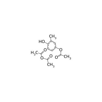 CC(=O)OC(C)=O.CC(=O)Oc1ccc(O)c(C)c1